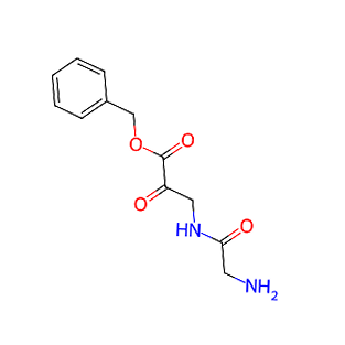 NCC(=O)NCC(=O)C(=O)OCc1ccccc1